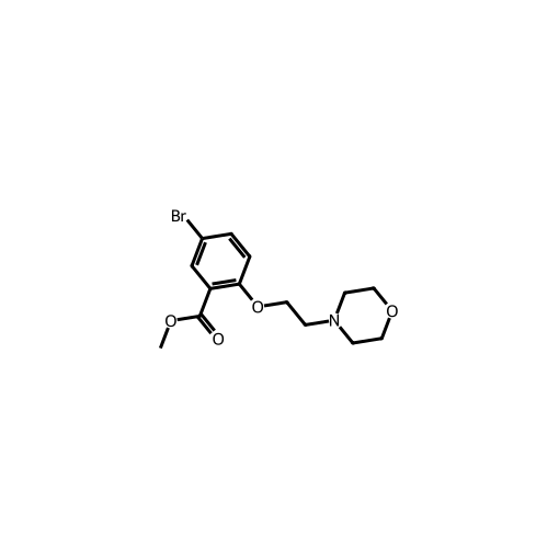 COC(=O)c1cc(Br)ccc1OCCN1CCOCC1